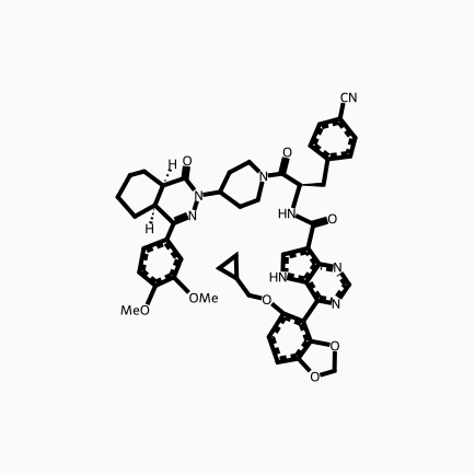 COc1ccc(C2=NN(C3CCN(C(=O)[C@@H](Cc4ccc(C#N)cc4)NC(=O)c4c[nH]c5c(-c6c(OCC7CC7)ccc7c6OCO7)ncnc45)CC3)C(=O)[C@@H]3CCCC[C@H]23)cc1OC